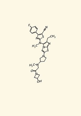 CCc1nc2sc(N3CCC(N(C)CC(=O)N4CC(O)C4)C3)cn2c1N(C)c1nc(-c2ccc(F)cc2)c(C#N)s1